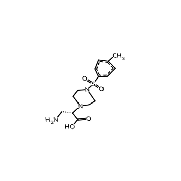 Cc1ccc(S(=O)(=O)N2CCN([C@@H](CN)C(=O)O)CC2)cc1